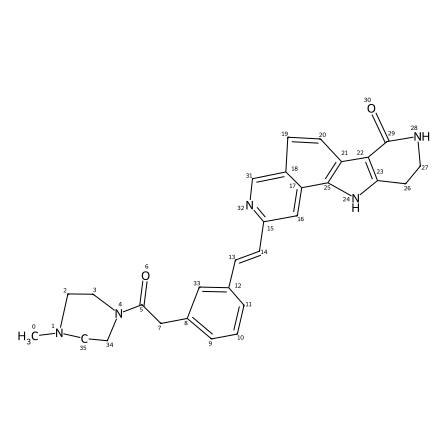 CN1CCN(C(=O)Cc2cccc(C=Cc3cc4c(ccc5c6c([nH]c54)CCNC6=O)cn3)c2)CC1